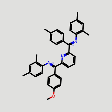 COc1ccc(/C(=N\c2ccc(C)cc2C)c2cccc(/C(=N/c3ccc(C)cc3C)c3ccc(C)cc3)n2)cc1